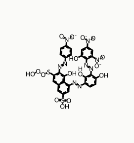 O=[N+]([O-])c1ccc(N=Nc2c(SOOO)cc3cc(S(=O)(=O)O)cc(N=Nc4ccc(O)c(N=Nc5c(O)cc([N+](=O)[O-])cc5[N+](=O)[O-])c4O)c3c2O)cc1